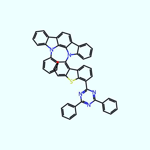 c1ccc(-c2nc(-c3ccccc3)nc(-c3cccc4c3sc3cccc(-n5c6ccccc6c6ccc7c8ccccc8n(-c8ccccc8)c7c65)c34)n2)cc1